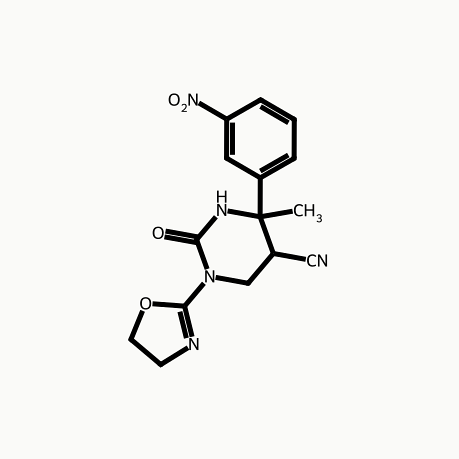 CC1(c2cccc([N+](=O)[O-])c2)NC(=O)N(C2=NCCO2)CC1C#N